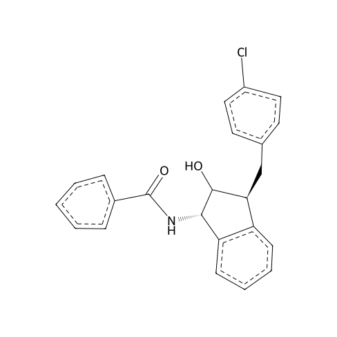 O=C(N[C@H]1c2ccccc2[C@H](Cc2ccc(Cl)cc2)C1O)c1ccccc1